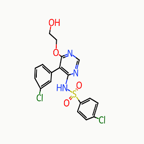 O=S(=O)(Nc1ncnc(OCCO)c1-c1cccc(Cl)c1)c1ccc(Cl)cc1